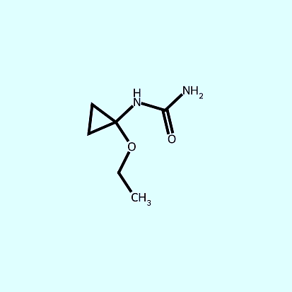 CCOC1(NC(N)=O)CC1